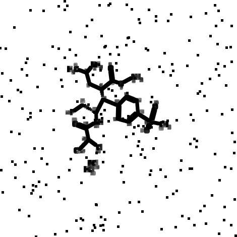 CC(N)CC(C(=O)ON)[C@H](c1ccc(S(C)(=O)=O)cc1)[C@@H](CF)NC(=O)C(Cl)Cl.Cl.Cl